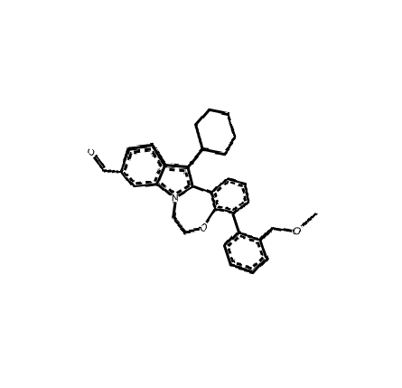 COCc1ccccc1-c1cccc2c1OCCn1c-2c(C2CCCCC2)c2ccc(C=O)cc21